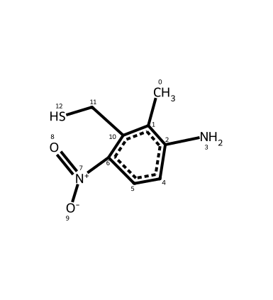 Cc1c(N)ccc([N+](=O)[O-])c1CS